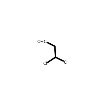 O=CC[C](Cl)Cl